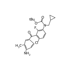 Cc1cc(C(=O)c2c(Cl)ccc(N(CC3CC3)C(=O)OC(C)(C)C)c2F)ccc1N